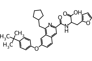 CC(C)(C)c1ccc(Oc2ccc3cc(C(=O)NC(Cc4ccco4)C(=O)O)nc(CC4CCCC4)c3c2)cc1